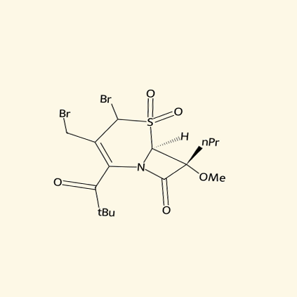 CCC[C@@]1(OC)C(=O)N2C(C(=O)C(C)(C)C)=C(CBr)C(Br)S(=O)(=O)[C@H]21